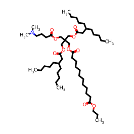 CCCCCC(CCCCC)CC(=O)OCC(COC(=O)CCCCCCCCCCC(=O)OCCC)(COC(=O)CCCN(C)C)COC(=O)CC(CCCCC)CCCCC